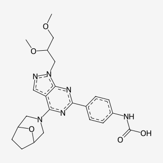 COCC(Cn1ncc2c(N3CC4CCC(C3)O4)nc(-c3ccc(NC(=O)O)cc3)nc21)OC